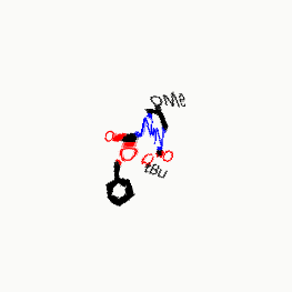 COC1CN(C(=O)OCc2ccccc2)N(C(=O)OC(C)(C)C)C1